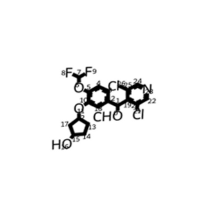 O=CC(c1ccc(OC(F)F)c(OC2CCC(O)C2)c1)c1c(Cl)cncc1Cl